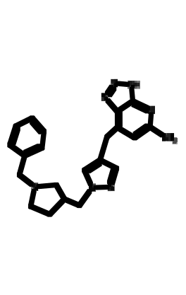 Nc1cc(Cc2cnn(CC3CCN(Cc4ccccc4)C3)c2)c2nn[nH]c2n1